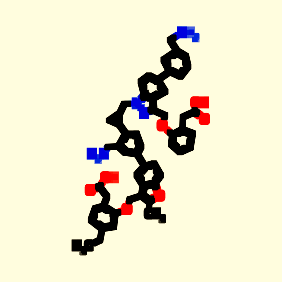 CCc1ccc(CC(=O)O)c(OCc2c(C)oc3ccc(-c4ccc(C5CC5Cn5nc(COc6ccccc6CC(=O)O)c6cc(-c7cccc(CN)c7)ccc65)c(CN)c4)cc23)c1